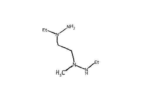 CCNN(C)CCN(N)CC